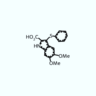 COc1cc2[nH]c(C(=O)O)c(Sc3ccccc3)c2cc1OC